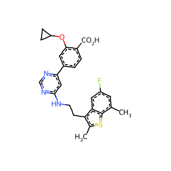 Cc1sc2c(C)cc(F)cc2c1CCNc1cc(-c2ccc(C(=O)O)c(OC3CC3)c2)ncn1